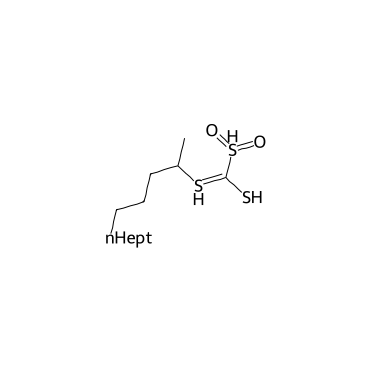 CCCCCCCCCCC(C)[SH]=C(S)[SH](=O)=O